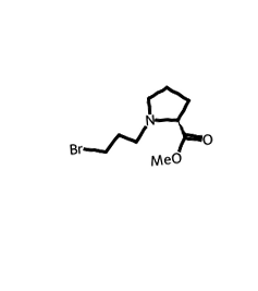 COC(=O)[C@@H]1CCCN1CCCBr